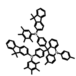 Cc1ccc(N2c3ccccc3C(c3ccc(N(c4ccc5c(c4)C(C)(C)c4ccccc4-5)c4cc(C)c(C)c(C)c4C)cc3)(c3ccc(N(c4ccc5c(c4)C(C)(C)c4ccccc4-5)c4cc(C)c(C)c(C)c4C)cc3)c3cc(C)ccc32)cc1